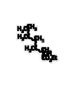 CCOC(=O)CC(O)C(C)CCC=C(C)CCC=C(C)CCC=C(C)CCC=C(C)C